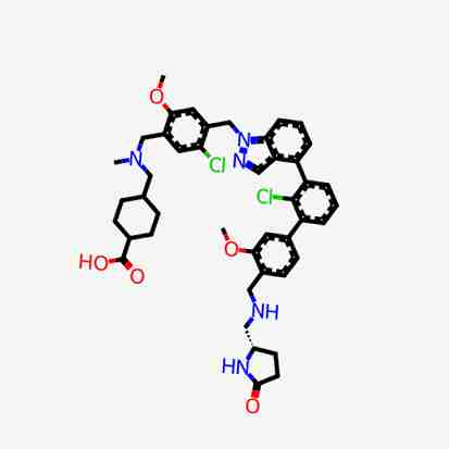 COc1cc(-c2cccc(-c3cccc4c3cnn4Cc3cc(OC)c(CN(C)CC4CCC(C(=O)O)CC4)cc3Cl)c2Cl)ccc1CNC[C@@H]1CCC(=O)N1